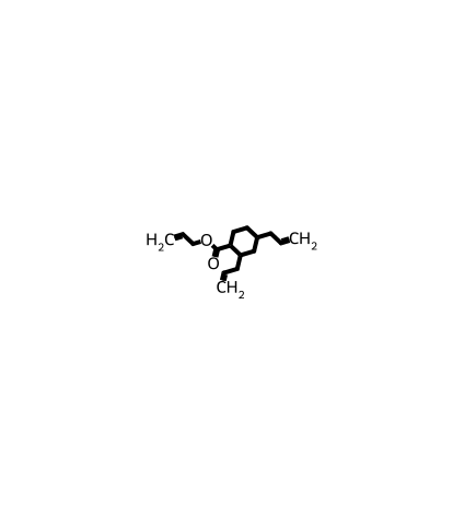 C=CCOC(=O)C1CCC(CC=C)CC1CC=C